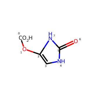 O=C(O)Oc1c[nH]c(=O)[nH]1